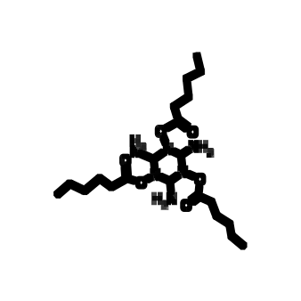 CCCCCC(=O)ON1C(N)N(OC(=O)CCCCC)C(N)N(OC(=O)CCCCC)C1N